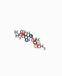 CC(=O)c1cc(S(C)(=O)=O)ccc1OCc1cccc(-c2cc(C(C)(C)S(C)(=O)=O)cc3cccnc23)c1